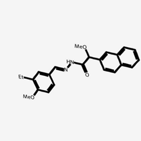 CCc1cc(/C=N/NC(=O)C(OC)c2ccc3ccccc3c2)ccc1OC